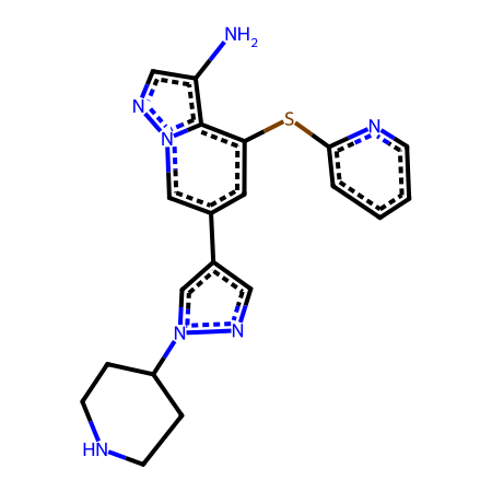 Nc1cnn2cc(-c3cnn(C4CCNCC4)c3)cc(Sc3ccccn3)c12